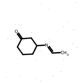 CC=NC1CCCC(=O)C1